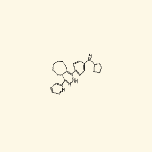 B(c1ccc(C2=C3CCCCCCC3C(c3ccccn3)=NN2)cc1)C1CCCC1